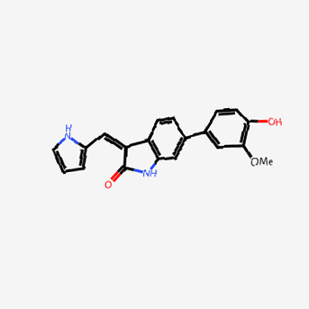 COc1cc(-c2ccc3c(c2)NC(=O)/C3=C\c2ccc[nH]2)ccc1O